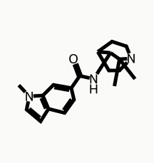 Cn1ccc2ccc(C(=O)NC3C4CCN(CC4)C3(C)C)cc21